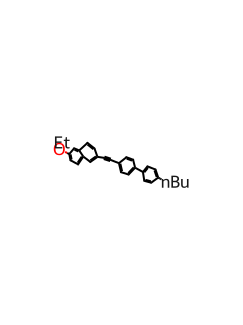 CCCCc1ccc(-c2ccc(C#Cc3ccc4cc(OCC)ccc4c3)cc2)cc1